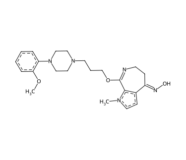 COc1ccccc1N1CCN(CCCOC2=NCCC(=NO)c3ccn(C)c32)CC1